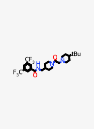 CC(C)(C)C1CCN(CC(=O)N2CCC(CNC(=O)c3cc(C(F)(F)F)cc(C(F)(F)F)c3)CC2)CC1